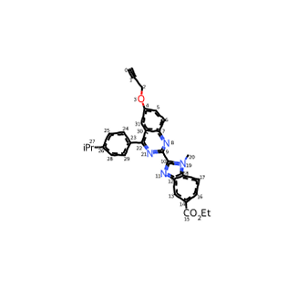 C#CCOc1ccc2nc(-c3nc4cc(C(=O)OCC)ccc4n3C)nc(-c3ccc(C(C)C)cc3)c2c1